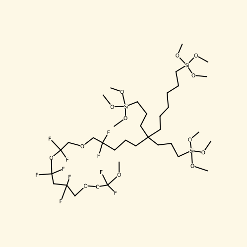 COC(F)(F)COCC(F)(F)CC(F)(F)OC(F)(F)COCC(F)(F)CCCC(CCCCCC[Si](OC)(OC)OC)(CCC[Si](OC)(OC)OC)CCC[Si](OC)(OC)OC